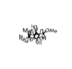 COC(=O)OC1C(O)C(O)C(OC(=O)OC)C(OC)C1O